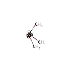 CCCCCCCCCCCCCCCC(=O)OCC(COC(=O)CCCCCCCCCCCCCCC)(COC(=O)CCCCCCCCCCCCCCC)CN1CCC1